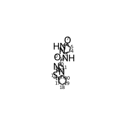 O=C(Nc1ccc(=O)[nH]n1)c1cn2c(n1)sc1ccccc12